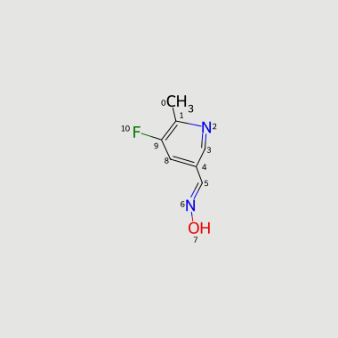 Cc1ncc(/C=N/O)cc1F